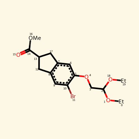 CCOC(COc1cc2c(cc1Br)CC(C(=O)OC)C2)OCC